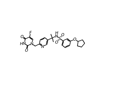 CC(C)(NS(=O)(=O)c1cccc(OC2CCCC2)c1)c1ccc(Cn2cc(F)c(=O)[nH]c2=O)nc1